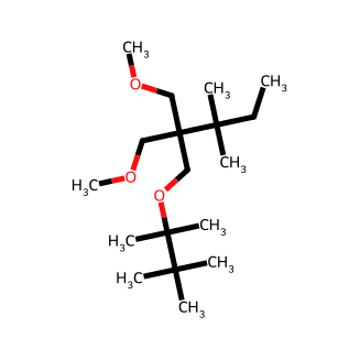 CCC(C)(C)C(COC)(COC)COC(C)(C)C(C)(C)C